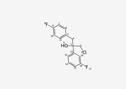 OC(CCl)(Cc1ccc(F)cc1)c1cccc(F)c1